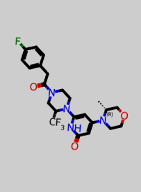 C[C@@H]1COCCN1c1cc(N2CCN(C(=O)Cc3ccc(F)cc3)CC2C(F)(F)F)[nH]c(=O)c1